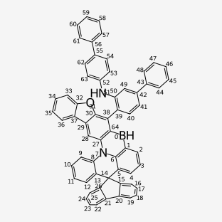 B1c2cccc3c2N(c2ccccc2C32c3ccccc3-c3ccccc32)c2cc3c(oc4ccccc43)c(-c3ccc(-c4ccccc4)cc3Nc3ccc(-c4ccccc4)cc3)c21